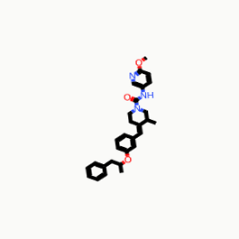 COc1ccc(NC(=O)N2CCC(=Cc3cccc(OC(C)Cc4ccccc4)c3)C(C)C2)cn1